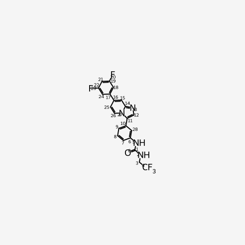 O=C(NCC(F)(F)F)Nc1cccc(-c2cnc3cc(-c4cc(F)cc(F)c4)ccn23)c1